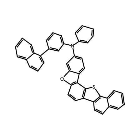 c1ccc(N(c2cccc(-c3cccc4ccccc34)c2)c2ccc3c(c2)oc2ccc4c5ccc6ccccc6c5sc4c23)cc1